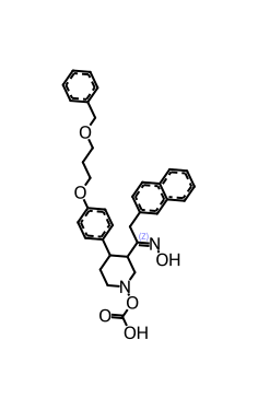 O=C(O)ON1CCC(c2ccc(OCCCOCc3ccccc3)cc2)C(/C(Cc2ccc3ccccc3c2)=N\O)C1